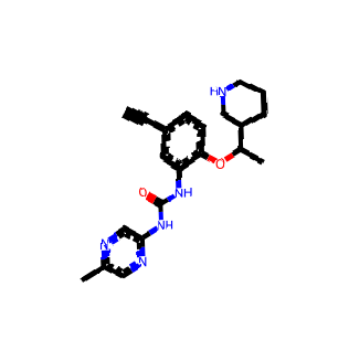 C#Cc1ccc(OC(C)C2CCCNC2)c(NC(=O)Nc2cnc(C)cn2)c1